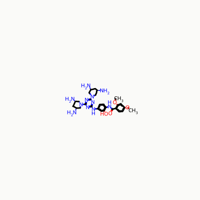 COc1ccc(C(=O)Nc2ccc(Nc3nc(N4C[C@H](N)C[C@H](N)C4)nc(N4C[C@H](N)C[C@H](N)C4)n3)cc2O)c(OC)c1